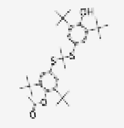 CC(=O)Oc1c(C(C)(C)C)cc(SC(C)(C)Sc2cc(C(C)(C)C)c(O)c(C(C)(C)C)c2)cc1C(C)(C)C